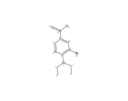 CCN(CC)c1ncc([N+](=O)[O-])cc1Br